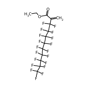 C=C(C(=O)OCC)C(F)(F)C(F)(F)C(F)(F)C(F)(F)C(F)(F)C(F)(F)C(F)(F)C(F)(F)C(F)(F)F